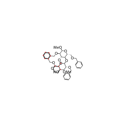 CO[C@H]1O[C@H](COCc2ccccc2)[C@@H](O[C@@H]2O[C@@H](C(=O)OCc3ccccc3)[C@@H](O)[C@H](OC)[C@H]2OCc2ccccc2)[C@H](OCc2ccccc2)[C@H]1OCc1ccccc1